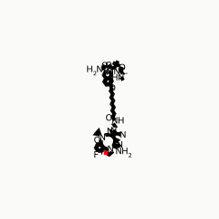 CN[C@@H](C)C(=O)N[C@H](C(=O)N1Cc2cc(OCCCCCCCCC(=O)NCCn3nc4c(c3C#N)-c3cnc(N)c(c3)N3CCC[C@@H]3c3cc(F)ccc3C(=O)N(C3CC3)C4)ccc2C[C@H]1C(N)=O)C(C)(C)C